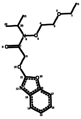 CCOCCON(C(=O)COc1nc2ccccc2o1)C(C)C